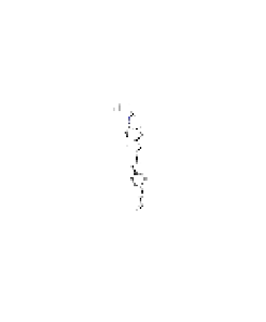 C/C=C/C1CCC(CCCCC2CCC(CCCC)CC2)CC1